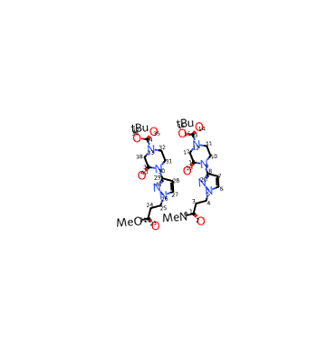 CNC(=O)CCn1ccc(N2CCN(C(=O)OC(C)(C)C)CC2=O)n1.COC(=O)CCn1ccc(N2CCN(C(=O)OC(C)(C)C)CC2=O)n1